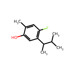 Cc1cc(F)c(C(C)C(C)C)cc1O